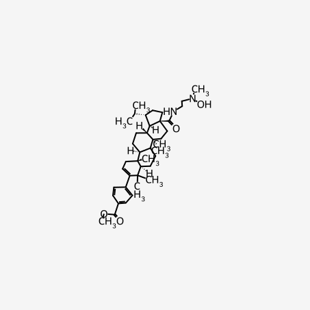 COC(=O)c1ccc(C2=CC[C@]3(C)[C@H]4CC[C@@H]5[C@H]6[C@H](C(C)C)CC[C@]6(C(=O)NCCN(C)O)CC[C@@]5(C)[C@]4(C)CC[C@H]3C2(C)C)cc1